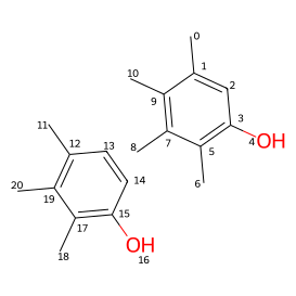 Cc1cc(O)c(C)c(C)c1C.Cc1ccc(O)c(C)c1C